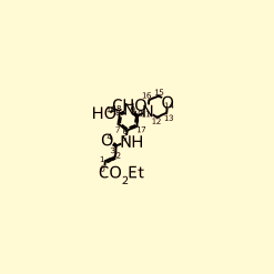 CCOC(=O)/C=C/C(=O)Nc1ccnc(N2CCOCC2)c1.O=CO